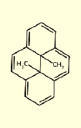 CC12C3=CC=CC1=CC=C1C=CC=C(C=C3)C12C